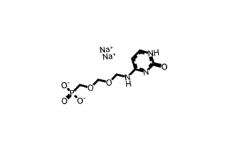 O=c1nc(NCOCOCP(=O)([O-])[O-])cc[nH]1.[Na+].[Na+]